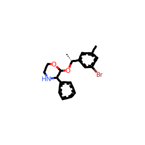 Cc1cc(Br)cc([C@@H](C)OC2OCCNC2c2ccccc2)c1